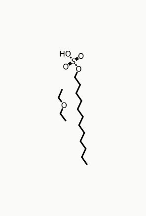 CCCCCCCCCCCCOS(=O)(=O)O.CCOCC